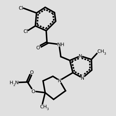 Cc1cnc(N2CCC(C)(OC(N)=O)CC2)c(CNC(=O)c2cccc(Cl)c2Cl)n1